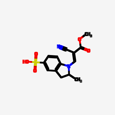 COC(=O)C(C#N)=CN1c2ccc(S(=O)(=O)O)cc2CC1C